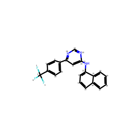 FC(F)(F)c1ccc(-c2cc(Nc3cccc4ccccc34)ncn2)cc1